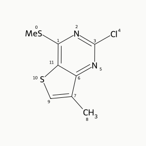 CSc1nc(Cl)nc2c(C)csc12